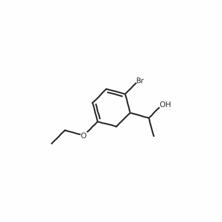 CCOC1=CC=C(Br)C(C(C)O)C1